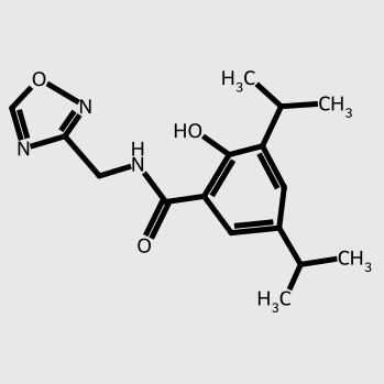 CC(C)c1cc(C(=O)NCc2ncon2)c(O)c(C(C)C)c1